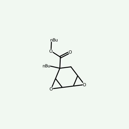 CCCCOC(=O)C1(CCCC)CC2OC2C2OC21